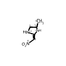 CC1CNC(=C[N+](=O)[O-])N1